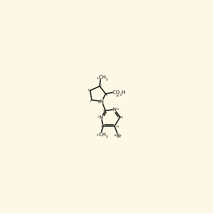 Cc1nc(N2CCC(C)C2C(=O)O)ncc1Br